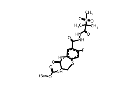 CC(C)(C)OC(=O)N[C@H]1CSc2cc(F)c(C(=O)NNC(=O)C(C)(C)S(C)(=O)=O)cc2NC1=O